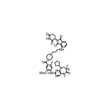 COc1cc(C(=O)N2CCN(CCCNc3cccc4c3C(=O)N(C3CCC(=O)NC3=O)C4=O)CC2)c(F)cc1Nc1ncc2c(n1)N(C1CCCC1)CC(F)(F)C(=O)N2C